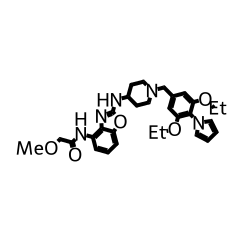 CCOc1cc(CN2CCC(Nc3nc4c(NC(=O)COC)cccc4o3)CC2)cc(OCC)c1-n1cccc1